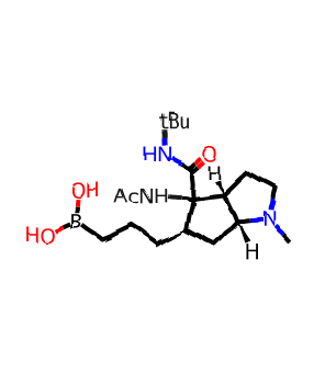 CC(=O)NC1(C(=O)NC(C)(C)C)[C@H](CCCB(O)O)C[C@@H]2[C@H]1CCN2C